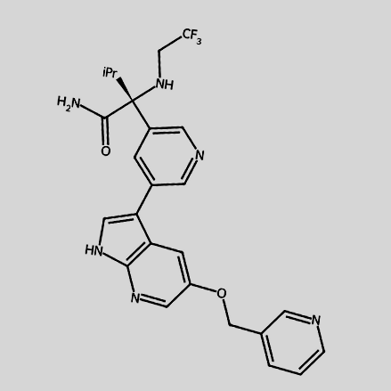 CC(C)[C@](NCC(F)(F)F)(C(N)=O)c1cncc(-c2c[nH]c3ncc(OCc4cccnc4)cc23)c1